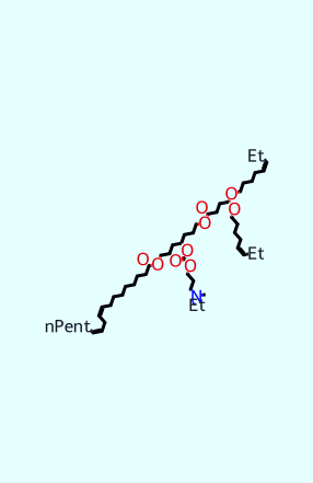 CC/C=C\CCCCOC(CCC(=O)OCCCC(CCCOC(=O)CCCCCCC/C=C\C/C=C\CCCCC)OC(=O)OCCCN(C)CC)OCCCC/C=C\CC